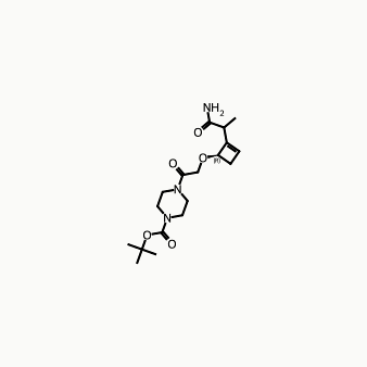 CC(C(N)=O)C1=CC[C@H]1OCC(=O)N1CCN(C(=O)OC(C)(C)C)CC1